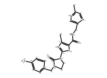 Cc1cnc(CNC(=O)c2sc(N3CCN(Cc4ccc(C(F)(F)F)cc4)C3=O)nc2C)cn1